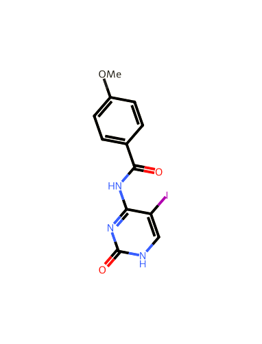 COc1ccc(C(=O)Nc2nc(=O)[nH]cc2I)cc1